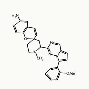 COc1ccccc1-c1ccc2cnc(C3CC4(C=Cc5cc(N)ccc5O4)CCN3C)nn12